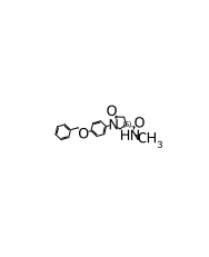 CNC(=O)[C@H]1CC(=O)N(c2ccc(OCc3ccccc3)cc2)C1